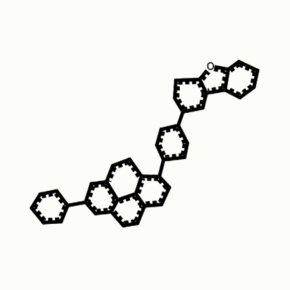 c1ccc(-c2cc3ccc4ccc(-c5ccc(-c6ccc7oc8ccccc8c7c6)cc5)c5ccc(c2)c3c45)cc1